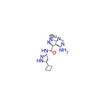 CC(C)(C)n1nc(C(=O)Nc2cc(C3CCC3)[nH]n2)c2c(N)ncnc21